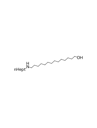 CCCCCCCNCCCCCCCCCCCCCCO